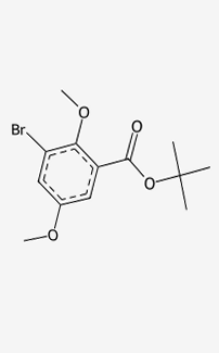 COc1cc(Br)c(OC)c(C(=O)OC(C)(C)C)c1